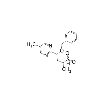 Cc1cnc(C(CC(C)[SH](=O)=O)OCc2ccccc2)nc1